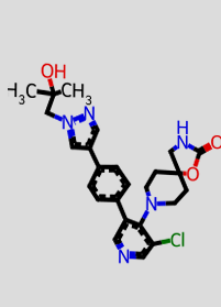 CC(C)(O)Cn1cc(-c2ccc(-c3cncc(Cl)c3N3CCC4(CC3)CNC(=O)O4)cc2)cn1